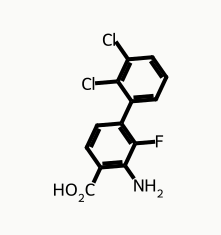 Nc1c(C(=O)O)ccc(-c2cccc(Cl)c2Cl)c1F